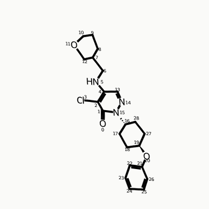 O=c1c(Cl)c(NCC2CCCOC2)cnn1[C@H]1CC[C@H](Oc2ccccc2)CC1